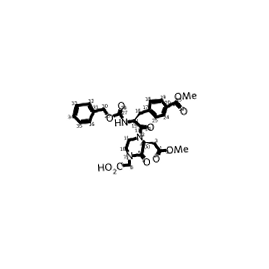 COC(=O)C[C@H]1C(=O)N(CC(=O)O)CCN1C(=O)[C@H](Cc1ccc(C(=O)OC)cc1)NC(=O)OCc1ccccc1